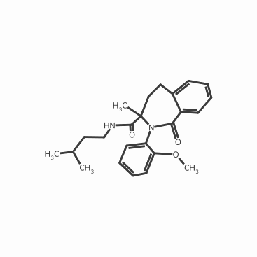 COc1ccccc1N1C(=O)c2ccccc2CCC1(C)C(=O)NCCC(C)C